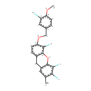 CCCc1cc2c(c(F)c1F)Oc1c(ccc(OCc3ccc(OCC)c(F)c3)c1F)C2